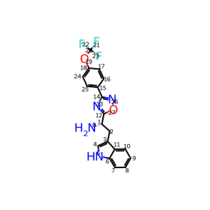 N[C@@H](Cc1c[nH]c2ccccc12)c1nc(-c2ccc(OC(F)(F)F)cc2)no1